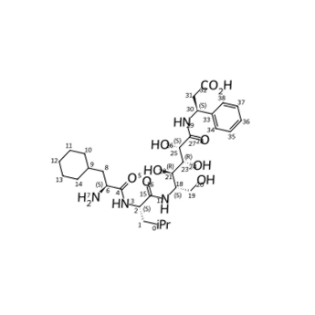 CC(C)C[C@H](NC(=O)[C@@H](N)CC1CCCCC1)C(=O)N[C@@H](CO)[C@@H](O)[C@@H](O)[C@H](O)C(=O)N[C@@H](CC(=O)O)c1ccccc1